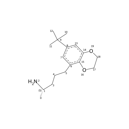 C[C@H](N)CCCc1cc(C(C)(C)C)cc2c1OCCO2